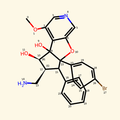 COc1cncc2c1C1(O)[C@H](O)[C@H](CN)C(c3ccccc3)C1(c1ccc(Br)cc1)O2